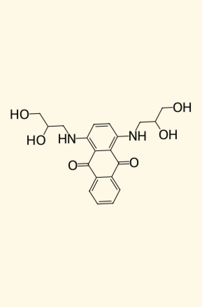 O=C1c2ccccc2C(=O)c2c(NCC(O)CO)ccc(NCC(O)CO)c21